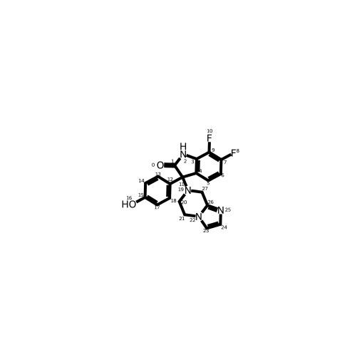 O=C1Nc2c(ccc(F)c2F)C1(c1ccc(O)cc1)N1CCn2ccnc2C1